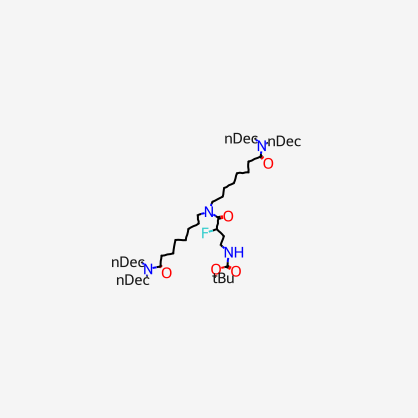 CCCCCCCCCCN(CCCCCCCCCC)C(=O)CCCCCCCN(CCCCCCCC(=O)N(CCCCCCCCCC)CCCCCCCCCC)C(=O)C(F)CCNC(=O)OC(C)(C)C